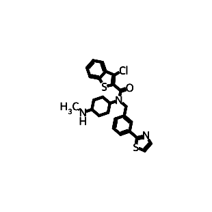 CNC1CCC(N(Cc2cccc(-c3nccs3)c2)C(=O)c2sc3ccccc3c2Cl)CC1